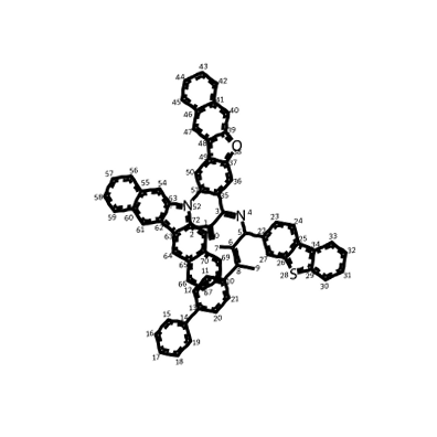 C=C(C)/C(=N\C(/C(C)=C(\C)c1ccc(-c2ccccc2)cc1)c1ccc2c(c1)sc1ccccc12)c1cc2oc3cc4ccccc4cc3c2cc1-n1c2cc3ccccc3cc2c2cc3ccccc3cc21